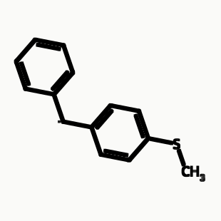 CSc1ccc([CH]c2ccccc2)cc1